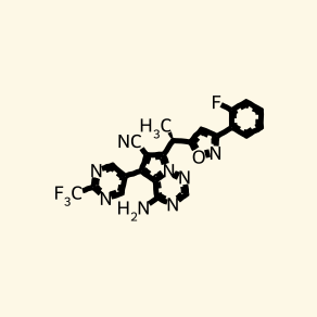 C[C@@H](c1cc(-c2ccccc2F)no1)c1c(C#N)c(-c2cnc(C(F)(F)F)nc2)c2c(N)ncnn12